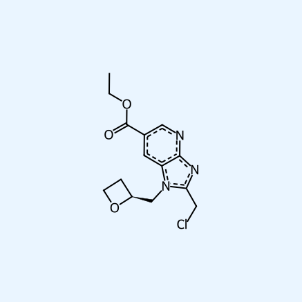 CCOC(=O)c1cnc2nc(CCl)n(C[C@@H]3CCO3)c2c1